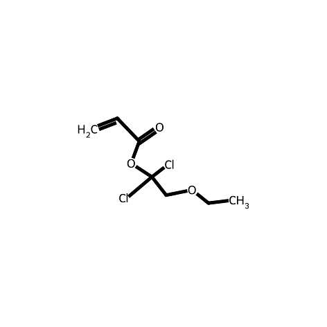 C=CC(=O)OC(Cl)(Cl)COCC